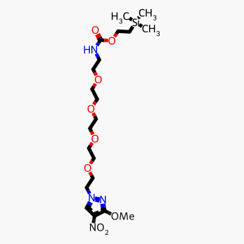 COc1nn(CCOCCOCCOCCOCCNC(=O)OCC[Si](C)(C)C)cc1[N+](=O)[O-]